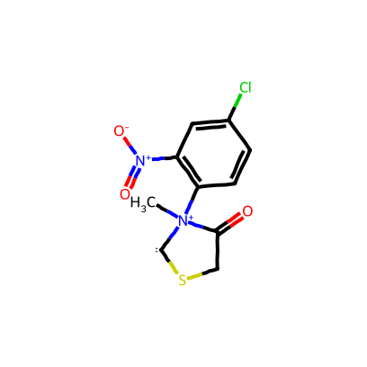 C[N+]1(c2ccc(Cl)cc2[N+](=O)[O-])[C]SCC1=O